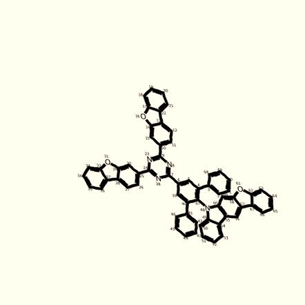 c1ccc(-c2cc(-c3nc(-c4ccc5c(c4)oc4ccccc45)nc(-c4ccc5c(c4)oc4ccccc45)n3)cc(-c3ccccc3)c2-n2c3ccccc3c3cc4c(cc32)oc2ccccc24)cc1